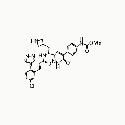 COC(=O)Nc1ccc(-c2cc(C(CC3CNC3)NC(=O)/C=C/c3cc(Cl)ccc3-n3cnnn3)n[nH]c2=O)cc1